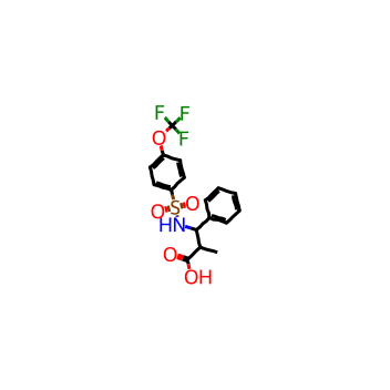 CC(C(=O)O)C(NS(=O)(=O)c1ccc(OC(F)(F)F)cc1)c1ccccc1